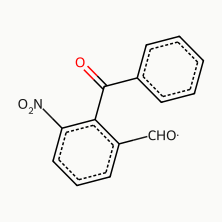 O=[C]c1cccc([N+](=O)[O-])c1C(=O)c1ccccc1